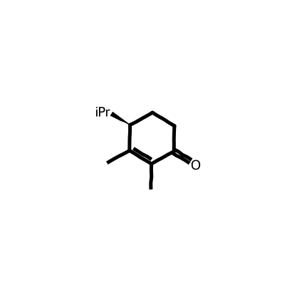 CC1=C(C)[C@@H](C(C)C)CCC1=O